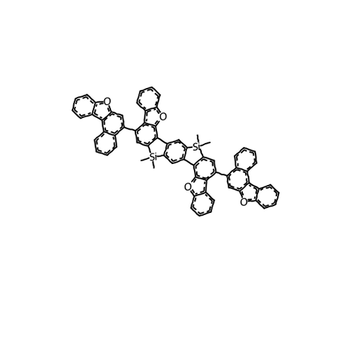 C[Si]1(C)c2cc3c(cc2-c2c1cc(-c1cc4oc5ccccc5c4c4ccccc14)c1c2oc2ccccc21)[Si](C)(C)c1cc(-c2cc4oc5ccccc5c4c4ccccc24)c2c(oc4ccccc42)c1-3